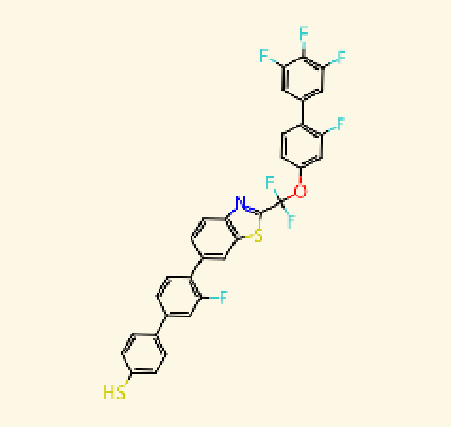 Fc1cc(OC(F)(F)c2nc3ccc(-c4ccc(-c5ccc(S)cc5)cc4F)cc3s2)ccc1-c1cc(F)c(F)c(F)c1